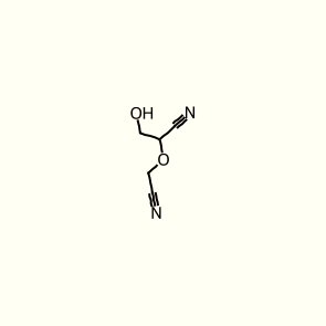 N#CCOC(C#N)CO